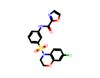 O=C(Nc1cccc(S(=O)(=O)N2CCOc3cc(Cl)ccc32)c1)c1ncco1